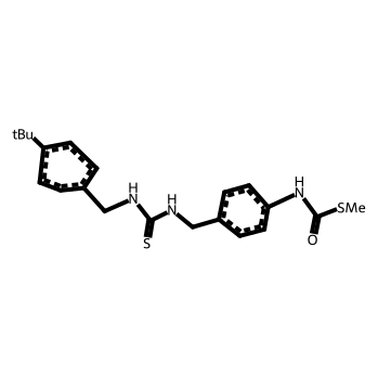 CSC(=O)Nc1ccc(CNC(=S)NCc2ccc(C(C)(C)C)cc2)cc1